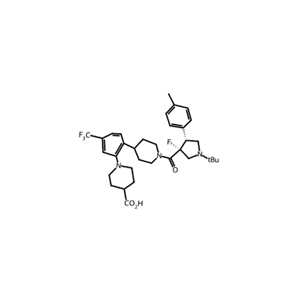 Cc1ccc([C@@H]2CN(C(C)(C)C)C[C@@]2(F)C(=O)N2CCC(c3ccc(C(F)(F)F)cc3N3CCC(C(=O)O)CC3)CC2)cc1